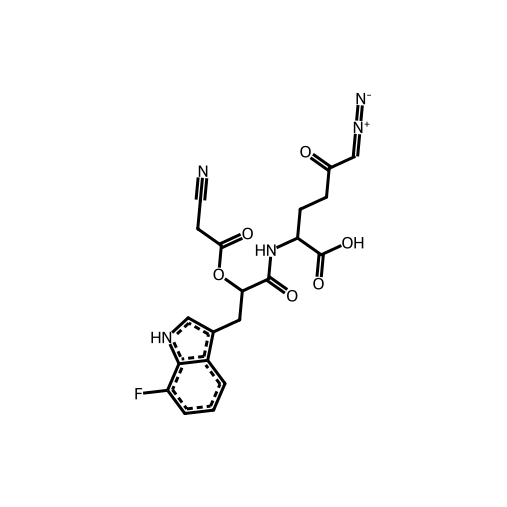 N#CCC(=O)OC(Cc1c[nH]c2c(F)cccc12)C(=O)NC(CCC(=O)C=[N+]=[N-])C(=O)O